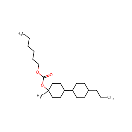 CCCCCCOC(=O)OC1(C)CCC(C2CCC(CCC)CC2)CC1